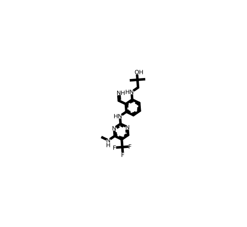 CNc1nc(Nc2cccc(NCC(C)(C)O)c2C=N)ncc1C(F)(F)F